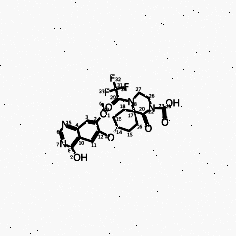 COc1cc2ncnc(O)c2cc1O[C@H]1CC[C@]2(CC1)C(=O)N(C(=O)O)CCN2C(=O)C(F)(F)F